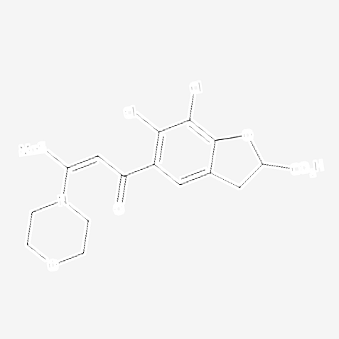 CSC(=CC(=O)c1cc2c(c(Cl)c1Cl)OC(C(=O)O)C2)N1CCOCC1